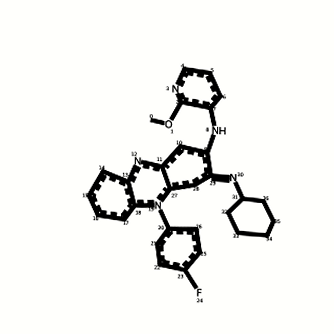 COc1ncccc1Nc1cc2nc3ccccc3n(-c3ccc(F)cc3)c-2c/c1=N\C1CCCCC1